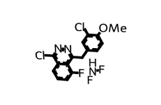 COc1ccc(Cc2nnc(Cl)c3cccc(F)c23)cc1Cl.FNF